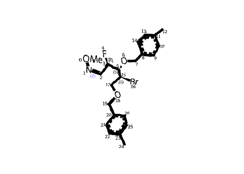 CO/N=C\[C@@H](F)[C@H](OCc1ccc(C)cc1)[C@@H](Br)COCc1ccc(C)cc1